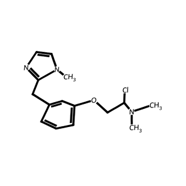 CN(C)C(Cl)COc1cccc(Cc2nccn2C)c1